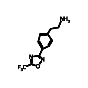 NCCc1ccc(-c2noc(C(F)(F)F)n2)cc1